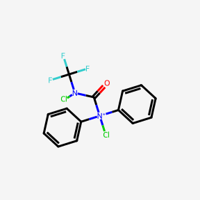 O=C(N(Cl)C(F)(F)F)[N+](Cl)(c1ccccc1)c1ccccc1